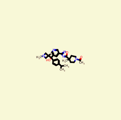 CC(=O)N1CCC(C)(c2nc(-c3cncc(C(O)(c4ccc(C(C)C)cc4)C4(C)CN(C)C4)c3)no2)CC1